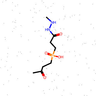 CNNC(=O)CCP(=O)(O)CCC(C)=O